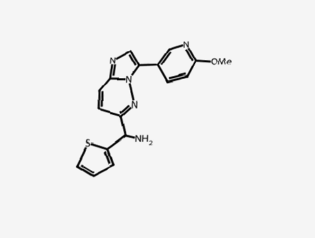 COc1ccc(-c2cnc3ccc(C(N)c4cccs4)nn23)cn1